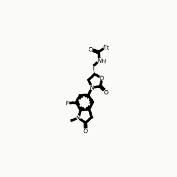 CCC(=O)NC[C@H]1CN(c2cc(F)c3c(c2)CC(=O)N3C)C(=O)O1